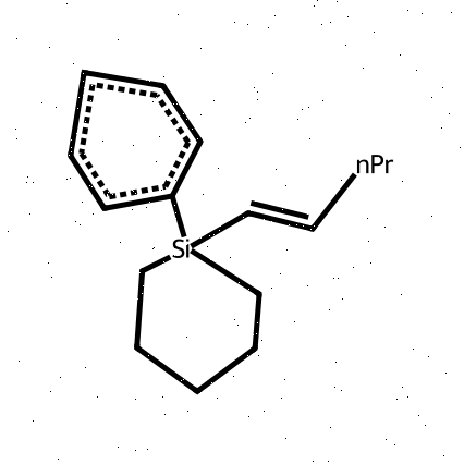 CCCC=C[Si]1(c2ccccc2)CCCCC1